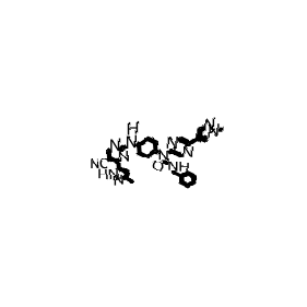 Cc1cc(-c2nc(NC3CCC(N(C(=O)NCc4ccccc4)c4cnc(-c5cnn(C)c5)cn4)CC3)ncc2C#N)[nH]n1